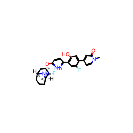 Cn1ccc(-c2cc(O)c(-c3ccc(O[C@H]4C[C@@H]5CCC[C@@H](N5)[C@H]4F)nn3)cc2F)cc1=O